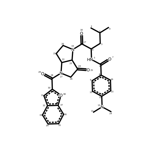 CC(C)CC(NC(=O)c1ccc(N(C)C)cc1)C(=O)N1CCC2C1C(=O)CN2C(=O)c1cc2ccccc2o1